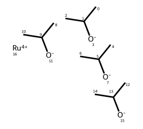 CC(C)[O-].CC(C)[O-].CC(C)[O-].CC(C)[O-].[Ru+4]